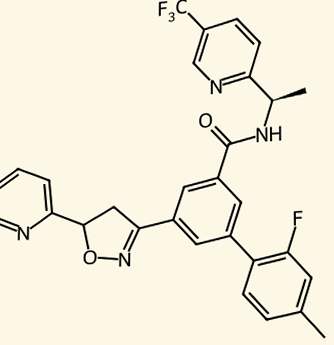 Cc1ccc(-c2cc(C(=O)N[C@H](C)c3ccc(C(F)(F)F)cn3)cc(C3=NOC(c4ccccn4)C3)c2)c(F)c1